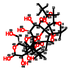 CC(C)(C)C(=O)OC(C(=O)C(C)(C)C)(C(=O)C(C)(C)C)[C@@]1(C(=O)C(C)(C)C)O[C@](O[C@]2(C(=O)C(C)(C)C)[C@@H](CO)O[C@H](O)[C@H](O)[C@]2(O)C(=O)C(C)(C)C)(C(=O)C(C)(C)C)[C@H](O)[C@@H](O)[C@H]1O